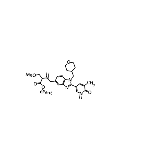 CCCCCOC(=O)C(COC)NCc1ccc2c(c1)nc(-c1c[nH]c(=O)c(C)c1)n2CC1CCOCC1